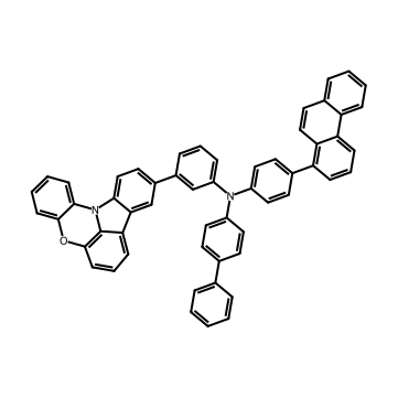 c1ccc(-c2ccc(N(c3ccc(-c4cccc5c4ccc4ccccc45)cc3)c3cccc(-c4ccc5c(c4)c4cccc6c4n5-c4ccccc4O6)c3)cc2)cc1